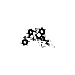 CCOc1c(C(=O)Nc2ccccc2)cccc1C(=O)N1CCC(F)(F)C(=CC(=O)NC(C)C)c2ccccc21